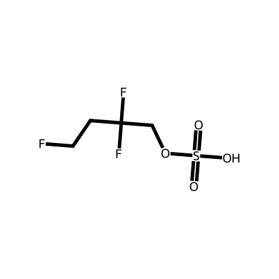 O=S(=O)(O)OCC(F)(F)CCF